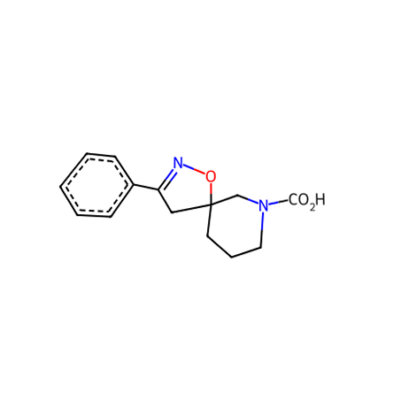 O=C(O)N1CCCC2(CC(c3ccccc3)=NO2)C1